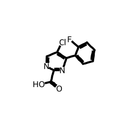 O=C(O)c1ncc(Cl)c(-c2ccccc2F)n1